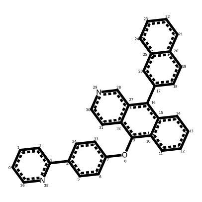 c1ccc(-c2ccc(Oc3c4ccccc4c(-c4ccc5ccccc5c4)c4cnccc34)cc2)nc1